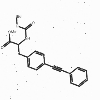 COC(=O)C(Cc1ccc(C#Cc2ccccc2)cc1)NC(=O)OC(C)(C)C